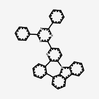 c1ccc(-c2nc(-c3ccccc3)nc(-c3ccc4c(n3)-c3ccccc3-c3cccc5c6ccccc6n-4c35)n2)cc1